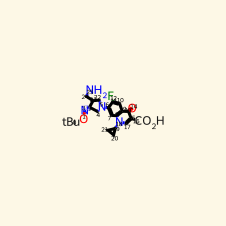 CC(C)(C)O/N=C1\CN(c2cc3c(cc2F)c(=O)c(C(=O)O)cn3C2CC2)CC1CN